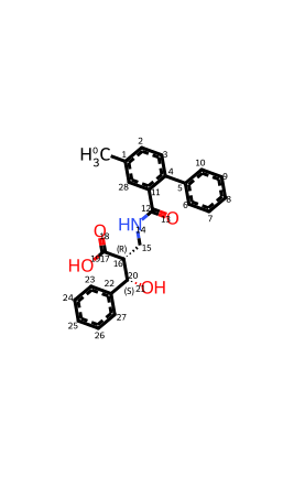 Cc1ccc(-c2ccccc2)c(C(=O)NC[C@@H](C(=O)O)[C@H](O)c2ccccc2)c1